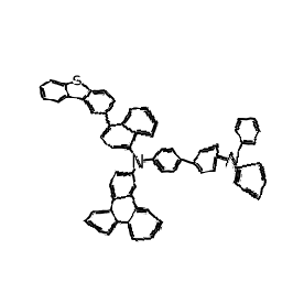 c1ccc(N(c2ccccc2)c2ccc(-c3ccc(N(c4ccc5c6ccccc6c6ccccc6c5c4)c4ccc(-c5ccc6sc7ccccc7c6c5)c5ccccc45)cc3)cc2)cc1